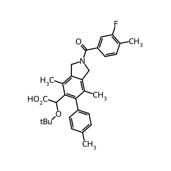 Cc1ccc(-c2c(C)c3c(c(C)c2C(OC(C)(C)C)C(=O)O)CN(C(=O)c2ccc(C)c(F)c2)C3)cc1